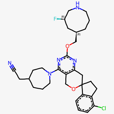 N#CCC1CCCN(c2nc(OC[C@@H]3CCCNC[C@H](F)C3)nc3c2COC2(CCc4c(Cl)cccc42)C3)CC1